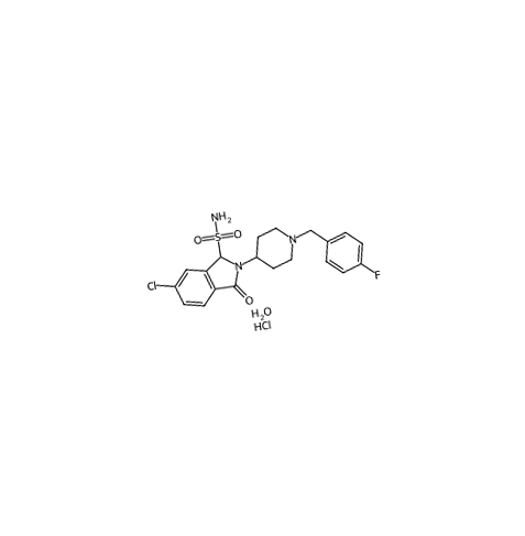 Cl.NS(=O)(=O)C1c2cc(Cl)ccc2C(=O)N1C1CCN(Cc2ccc(F)cc2)CC1.O